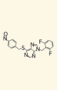 O=Nc1ccc(CSc2ncnc3c2ncn3Cc2c(F)cccc2F)cc1